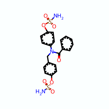 NS(=O)(=O)Oc1ccc(CN(C(=O)c2ccccc2)c2ccc(OS(N)(=O)=O)cc2)cc1